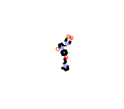 CC1CCCN1CCCOc1ccc(N2C(=O)CC[C@H]2CN2CCS(=O)(=O)CC2)cc1